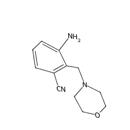 N#Cc1cccc(N)c1CN1CCOCC1